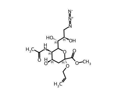 C=CCO[C@]1(C(=O)OC)C[C@@H](O)[C@@H](NC(C)=O)C([C@H](O)[C@H](O)CN=[N+]=[N-])O1